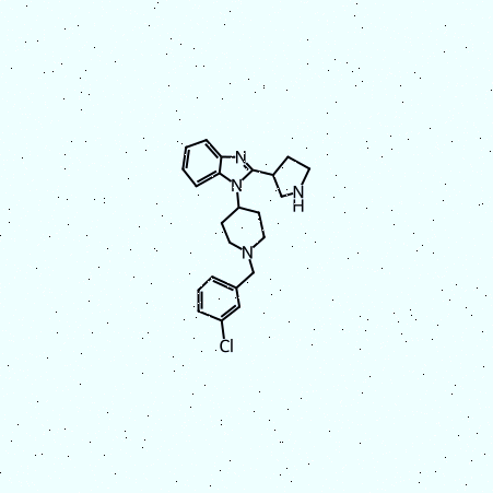 Clc1cccc(CN2CCC(n3c(C4CCNC4)nc4ccccc43)CC2)c1